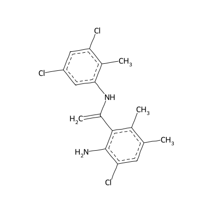 C=C(Nc1cc(Cl)cc(Cl)c1C)c1c(C)c(C)cc(Cl)c1N